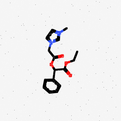 CCOC(=O)C(OC(=O)C[n+]1ccn(C)c1)c1ccccc1